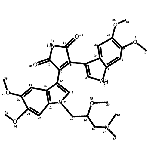 COc1cc2[nH]cc(C3=C(c4cn(CC(CN(C)C)OC)c5cc(OC)c(OC)cc45)C(=O)NC3=O)c2cc1OC